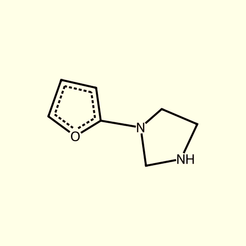 c1coc(N2CCNC2)c1